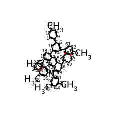 Cc1ccc(-c2cc(-c3ccc(C)cc3)cc(-c3ccc(C4CCCCC4)c4cc5c(N(c6cc(C)cc(C)c6)c6cc(C)cc(C)c6)ccc(C6CCCCC6)c5cc34)c2)cc1